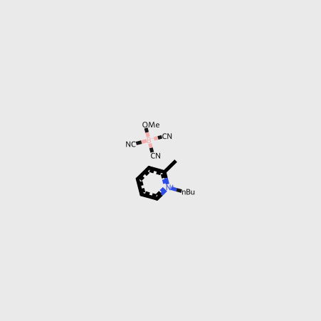 CCCC[n+]1ccccc1C.CO[B-](C#N)(C#N)C#N